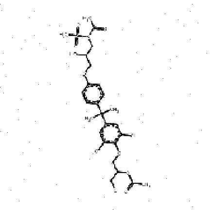 CC(=O)OC(CCl)COc1c(Cl)cc(C(C)(C)c2ccc(OCC(O)CN(C(C)=O)S(C)(=O)=O)cc2)cc1Cl